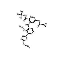 [2H]C([2H])([2H])NC(=O)c1nnc(NC(=O)C2CC2)cc1Nc1cccc(-c2cnc(SC)s2)c1OC